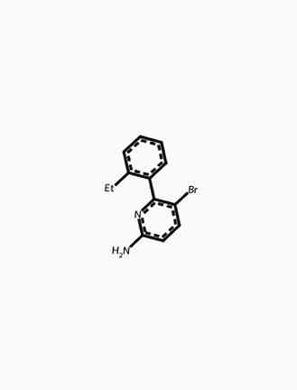 CCc1ccccc1-c1nc(N)ccc1Br